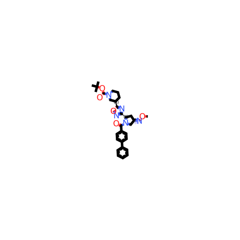 CO/N=C1\C[C@@H](c2noc([C@@H]3CCCN(C(=O)OC(C)(C)C)C3)n2)N(C(=O)c2ccc(-c3ccccc3)cc2)C1